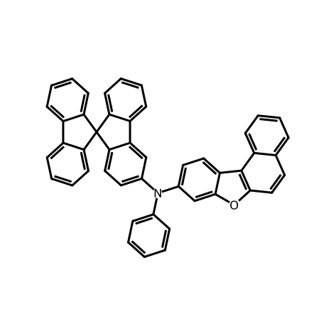 c1ccc(N(c2ccc3c(c2)-c2ccccc2C32c3ccccc3-c3ccccc32)c2ccc3c(c2)oc2ccc4ccccc4c23)cc1